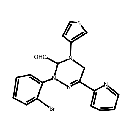 O=CC1N(c2ccsc2)CC(c2ccccn2)=NN1c1ccccc1Br